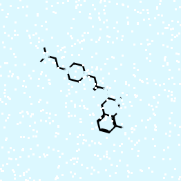 CN(C)CCN1CCN(CC(=O)N[C@H]2Cc3cccc(C(=O)O)c3OB2O)CC1